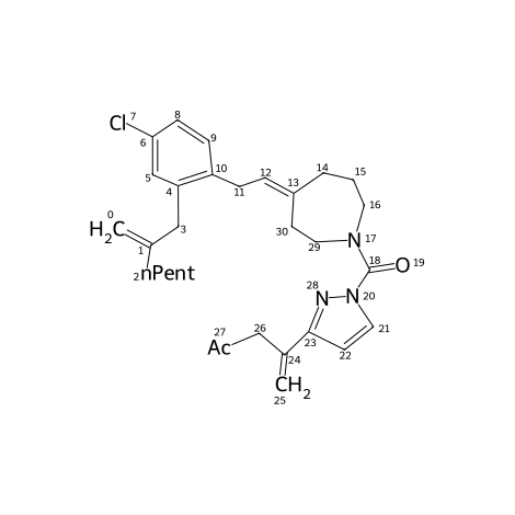 C=C(CCCCC)Cc1cc(Cl)ccc1C/C=C1/CCCN(C(=O)n2ccc(C(=C)CC(C)=O)n2)CC1